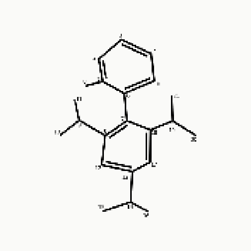 Cc1ccccc1-c1c(C(C)C)cc(C(C)C)cc1C(C)C